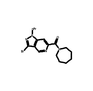 CCCn1nc(Br)c2cnc(C(=O)N3CCCCCC3)cc21